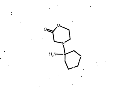 NC1(N2CCOC(=O)C2)CCCCC1